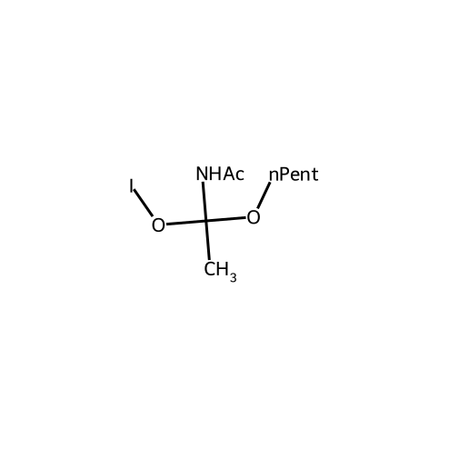 CCCCCOC(C)(NC(C)=O)OI